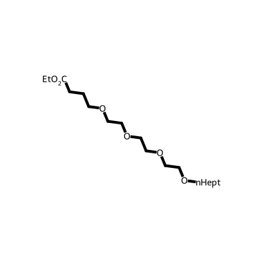 CCCCCCCOCCOCCOCCOCCCC(=O)OCC